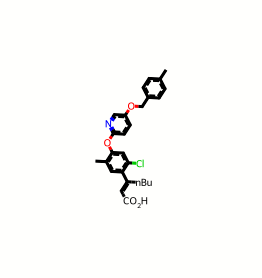 CCCC/C(=C\C(=O)O)c1cc(C)c(Oc2ccc(OCc3ccc(C)cc3)cn2)cc1Cl